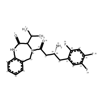 CC(C)C1C(=O)Nc2ccccc2CN1C(=O)C[C@H](N)Cc1cc(F)c(F)cc1F